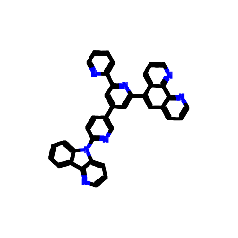 c1ccc(-c2cc(-c3ccc(-n4c5ccccc5c5ncccc54)nc3)cc(-c3cc4cccnc4c4ncccc34)n2)nc1